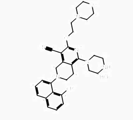 Cl.N#Cc1c(OCCN2CCOCC2)nc(N2CCNCC2)c2c1CN(c1cccc3cccc(Cl)c13)CC2